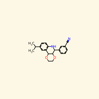 CC(C)c1ccc2c(c1)C1OCCOC1C(c1cccc(C#N)c1)N2